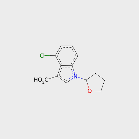 O=C(O)c1cn(C2CCCO2)c2cccc(Cl)c12